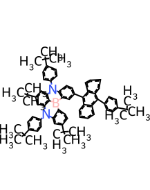 CC(C)(C)c1ccc(-c2c3ccccc3c(-c3ccc4c(c3)B3c5ccc(C(C)(C)C)cc5N(c5ccc(C(C)(C)C)cc5)c5cc(C(C)(C)C)cc(c53)N4c3ccc(C(C)(C)C)cc3)c3ccccc23)cc1